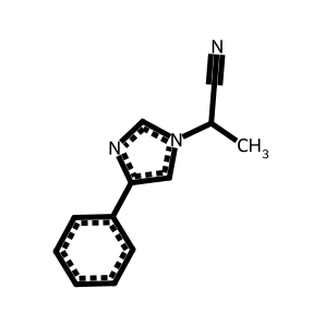 CC(C#N)n1cnc(-c2ccccc2)c1